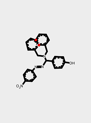 O=[N+]([O-])c1ccc(N=NC(c2ccc(O)cc2)N(Cc2ccccn2)Cc2ccccn2)cc1